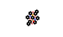 S=P12c3c4cccc3N(c3ccccc3)c3c5c6c(c(c31)Oc1cc3ccccc3c(c12)O4)N(c1ccccc1)c1cccc2c1P6(=S)c1c(cc3ccccc3c1O2)O5